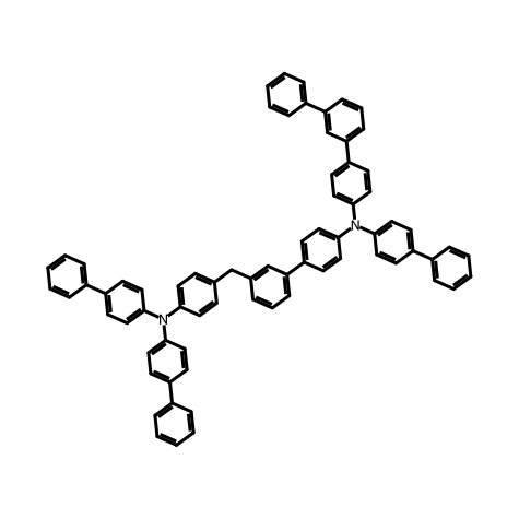 c1ccc(-c2ccc(N(c3ccc(Cc4cccc(-c5ccc(N(c6ccc(-c7ccccc7)cc6)c6ccc(-c7cccc(-c8ccccc8)c7)cc6)cc5)c4)cc3)c3ccc(-c4ccccc4)cc3)cc2)cc1